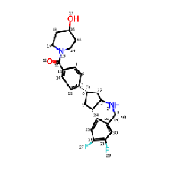 C[C@@H](NC1CC[C@H](c2ccc(C(=O)N3CCC(O)CC3)cc2)C1)c1ccc(F)c(F)c1